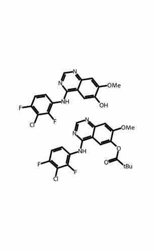 COc1cc2ncnc(Nc3ccc(F)c(Cl)c3F)c2cc1O.COc1cc2ncnc(Nc3ccc(F)c(Cl)c3F)c2cc1OC(=O)C(C)(C)C